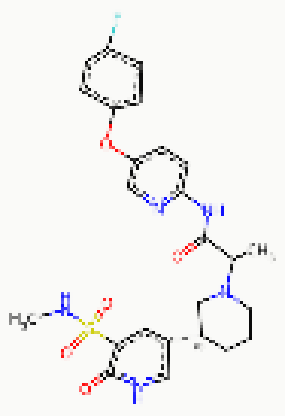 CNS(=O)(=O)c1cc([C@H]2CCCN(C(C)C(=O)Nc3ccc(Oc4ccc(F)cc4)cn3)C2)c[nH]c1=O